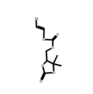 CCC=COC(=O)OCC1OC(=O)OC1(C)C